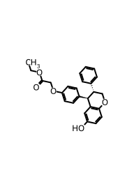 CCOC(=O)COc1ccc([C@@H]2c3cc(O)ccc3OC[C@H]2c2ccccc2)cc1